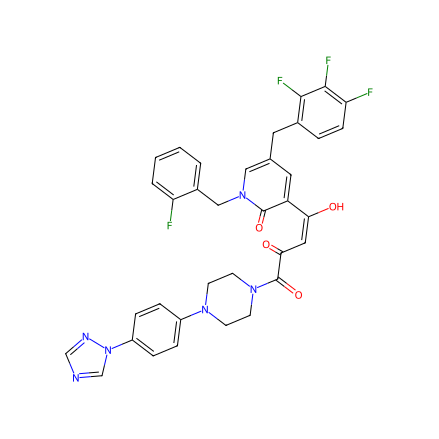 O=C(/C=C(/O)c1cc(Cc2ccc(F)c(F)c2F)cn(Cc2ccccc2F)c1=O)C(=O)N1CCN(c2ccc(-n3cncn3)cc2)CC1